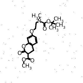 COC(=O)C1Cc2ccc(OCCN(C)C(=O)OC(C)(C)C)cc2OC1=O